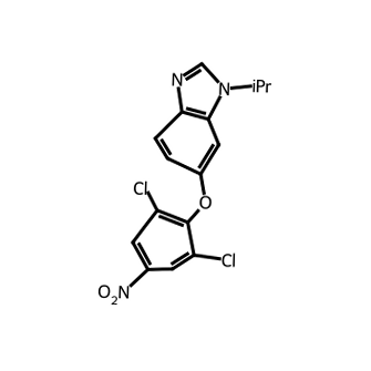 CC(C)n1cnc2ccc(Oc3c(Cl)cc([N+](=O)[O-])cc3Cl)cc21